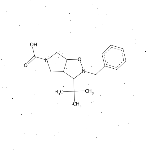 CC(C)(C)C1C2CN(C(=O)O)CC2ON1Cc1ccccc1